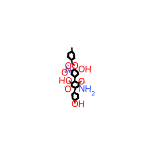 COc1c(O)c(-c2cc(O)c(OCc3ccc(C)cc3)c([N+](=O)[O-])c2)c(OC)c(N)c1-c1ccc(O)cc1